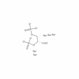 O=C([O-])[C@@H](COP(=O)([O-])[O-])OP(=O)([O-])[O-].[Na+].[Na+].[Na+].[Na+].[Na+]